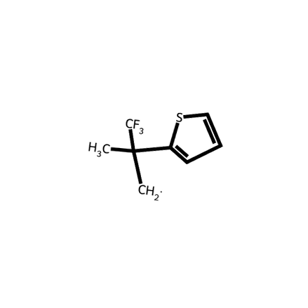 [CH2]C(C)(c1cccs1)C(F)(F)F